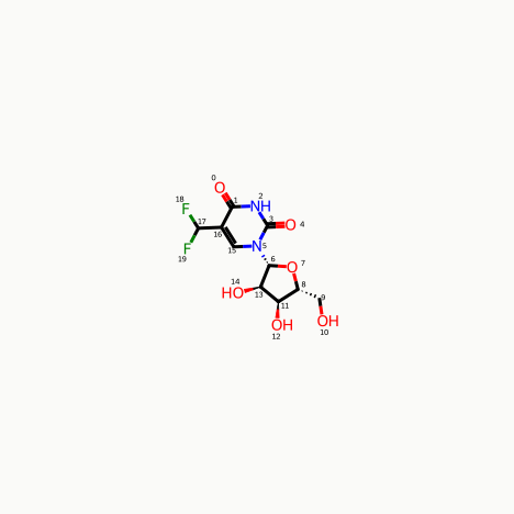 O=c1[nH]c(=O)n([C@@H]2O[C@H](CO)[C@@H](O)[C@H]2O)cc1C(F)F